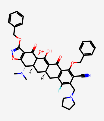 CN(C)[C@@H]1c2onc(OCc3ccccc3)c2C(=O)[C@@]2(O)C(O)=C3C(=O)c4c(c(F)c(CN5CCCC5)c(C#N)c4OCc4ccccc4)C[C@H]3C[C@@H]12